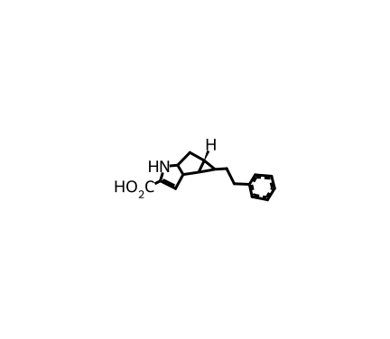 O=C(O)C1=CC2C(C[C@@H]3C(CCc4ccccc4)C23)N1